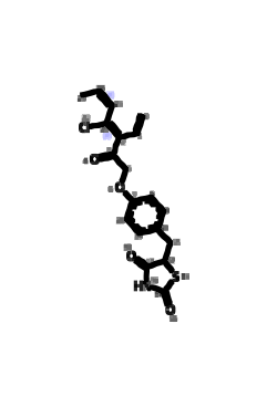 C=C/C(C(=O)COc1ccc(CC2SC(=O)NC2=O)cc1)=C(Cl)\C=C/C